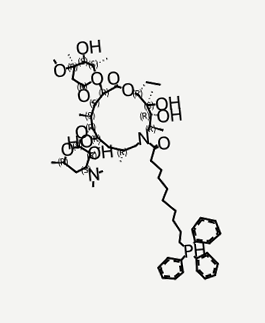 CC[C@H]1OC(=O)[C@H](C)[C@@H](O[C@H]2C[C@@](C)(OC)[C@@H](O)[C@H](C)O2)[C@H](C)[C@@H](O[C@@H]2O[C@H](C)C[C@H](N(C)C)[C@H]2O)[C@](C)(O)C[C@@H](C)CN(C(=O)CCCCCCCCC[PH](c2ccccc2)(c2ccccc2)c2ccccc2)[C@H](C)[C@@H](O)[C@]1(C)O